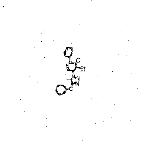 CCc1c(-n2nnc(Oc3ccccc3)c2C)cnn(-c2ccccc2)c1=O